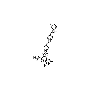 CC(F)C/C(=C\CF)c1oc(N2CCC(CCN3CCC(CNC4C=CCC(C)C4)CC3)CC2)nc1C(N)=O